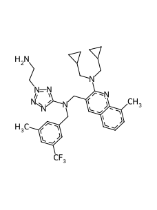 Cc1cc(CN(Cc2cc3cccc(C)c3nc2N(CC2CC2)CC2CC2)c2nnn(CCN)n2)cc(C(F)(F)F)c1